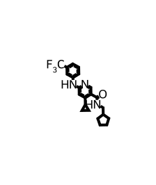 O=C(NCC1CCCC1)c1cnc(Nc2cccc(C(F)(F)F)c2)cc1C1CC1